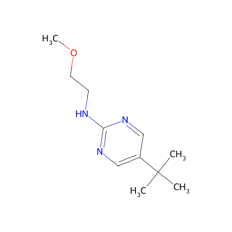 COCCNc1ncc(C(C)(C)C)cn1